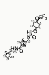 O=C(COc1ccc(OC(F)(F)F)cc1)NCc1nc(C(=O)NCCc2cccs2)cs1